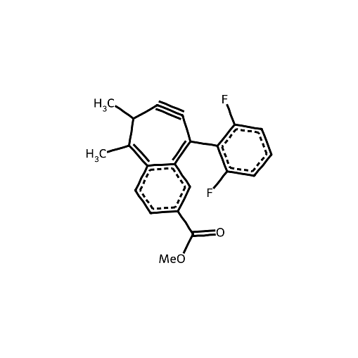 COC(=O)c1ccc2c(c1)=C(c1c(F)cccc1F)C#CC(C)C=2C